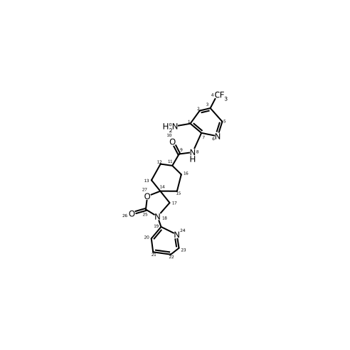 Nc1cc(C(F)(F)F)cnc1NC(=O)C1CCC2(CC1)CN(c1ccccn1)C(=O)O2